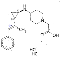 C/C(=C\c1ccccc1)[C@@H]1C[C@H]1NC1CCN(CC(=O)O)CC1.Cl.Cl